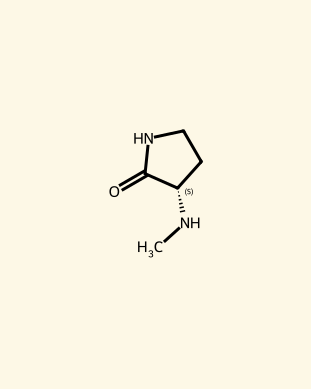 CN[C@H]1CCNC1=O